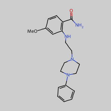 COc1ccc(C(N)=O)c(NCCN2CCN(c3ccccc3)CC2)c1